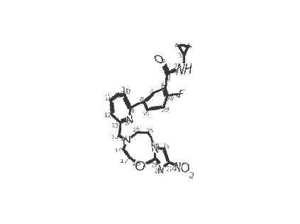 O=C(NC1CC1)c1cc(-c2cccc(CN3CCOc4nc([N+](=O)[O-])cn4CC3)n2)ccc1F